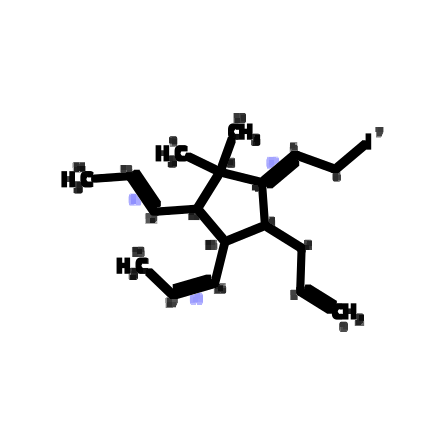 C=CCC1/C(=C\CI)C(C)(C)C(/C=C/C)C1/C=C\C